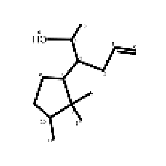 C=CCC(C(C)O)C1CCC(C)C1(C)C